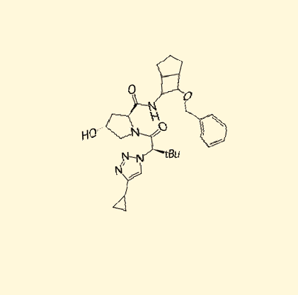 CC(C)(C)[C@H](C(=O)N1C[C@H](O)C[C@H]1C(=O)NC1C2CCCC2C1OCc1ccccc1)n1cc(C2CC2)nn1